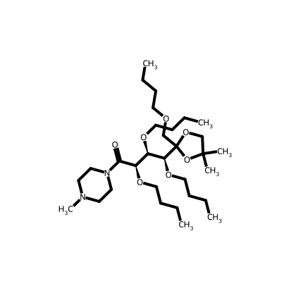 CCCCOCC1([C@@H](OCCCC)[C@H](OCCCC)[C@@H](OCCCC)C(=O)N2CCN(C)CC2)OCC(C)(C)O1